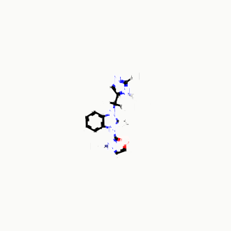 Cc1ncc(C(C)(C)N2c3ccccc3N(c3occ[n+]3C)[C@H]2C)n1C